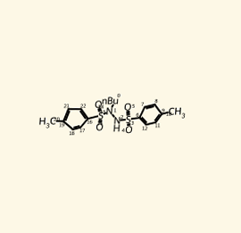 CCCCN(NS(=O)(=O)c1ccc(C)cc1)S(=O)(=O)c1ccc(C)cc1